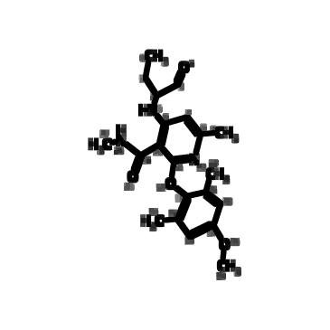 CCC(C=O)Nc1cc(C)nc(Oc2c(C)cc(OC)cc2C)c1C(=O)NC